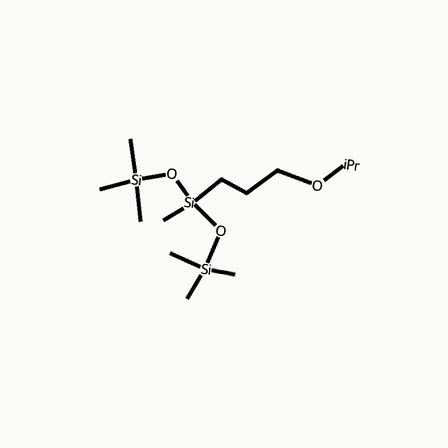 CC(C)OCCC[Si](C)(O[Si](C)(C)C)O[Si](C)(C)C